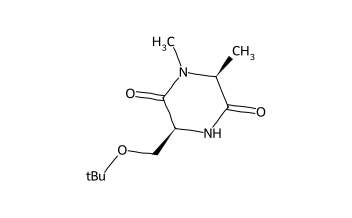 C[C@H]1C(=O)N[C@@H](COC(C)(C)C)C(=O)N1C